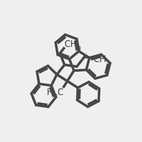 CCCC(CC)C1(C(C)(c2ccccc2)C2c3ccccc3-c3ccccc32)C=Cc2ccccc21